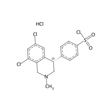 CN1Cc2c(Cl)cc(Cl)cc2[C@H](c2ccc(S(=O)(=O)Cl)cc2)C1.Cl